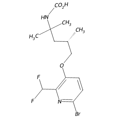 C[C@H](COc1ccc(Br)nc1C(F)F)CC(C)(C)NC(=O)O